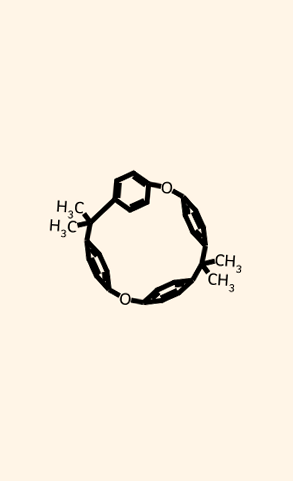 CC1(C)c2ccc(cc2)Oc2ccc(cc2)C(C)(C)c2ccc(cc2)Oc2ccc1cc2